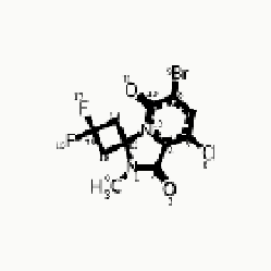 CN1C(=O)c2c(Cl)cc(Br)c(=O)n2C12CC(F)(F)C2